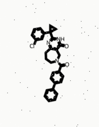 O=C(c1ccc(-c2ccccc2)cc1)N1CCCc2nc(C3(c4cccc(Cl)c4)CC3)[nH]c(=O)c2C1